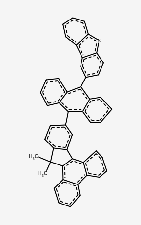 CC1(C)c2ccc(-c3c4ccccc4c(-c4ccc5sc6ccccc6c5c4)c4ccccc34)cc2-c2c1c1ccccc1c1ccccc21